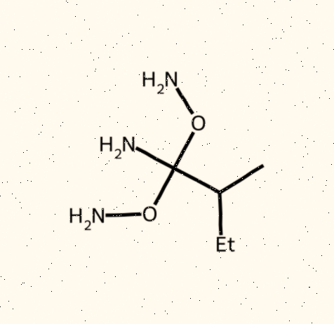 CCC(C)C(N)(ON)ON